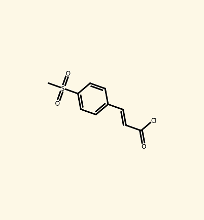 CS(=O)(=O)c1ccc(C=CC(=O)Cl)cc1